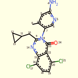 Cc1cc(N)ncc1-n1c(CC2CC2)nc2c(Cl)ccc(Cl)c2c1=O